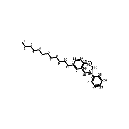 CCCCCCCCCCCCc1ccc2c(c1)CN(c1ccccc1)CO2